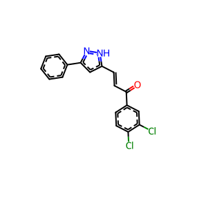 O=C(C=Cc1cc(-c2ccccc2)n[nH]1)c1ccc(Cl)c(Cl)c1